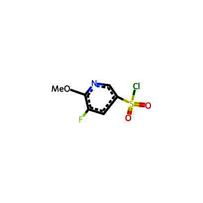 COc1ncc(S(=O)(=O)Cl)cc1F